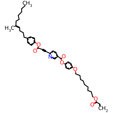 C=CC(=O)OCCCCCCCCCOc1ccc(OC(=O)c2ccc(C#CC(=O)Oc3ccc(CCC/C=C(\C)CCCCCCC)cc3)nc2)cc1